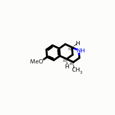 COc1ccc2c(c1)[C@H]1C[C@@H](C2)NC[C@@H]1C